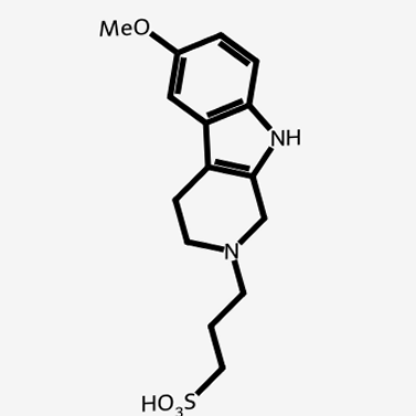 COc1ccc2[nH]c3c(c2c1)CCN(CCCS(=O)(=O)O)C3